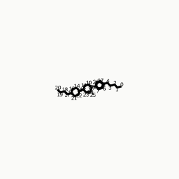 CCCCCc1ccc([C@@H]2CCC(C3CCC(CCCC)CC3)C[C@H]2C)cc1